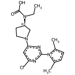 CCN(C(=O)O)[C@@H]1CCN(c2cc(Cl)nc(-n3c(C)ccc3C)n2)C1